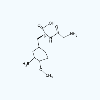 BC1CC(C[C@H](NC(=O)CN)C(=O)O)CCC1OC